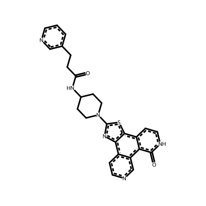 O=C(CCc1cccnc1)NC1CCN(c2nc3c4ccncc4c4c(=O)[nH]ccc4c3s2)CC1